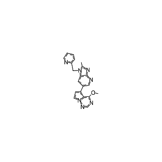 COc1ncnn2ccc(-c3cnc4nc(C)n(Cc5ccccn5)c4c3)c12